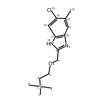 C[Si](C)(C)CCOCc1nc2cc(I)c(Cl)cc2[nH]1